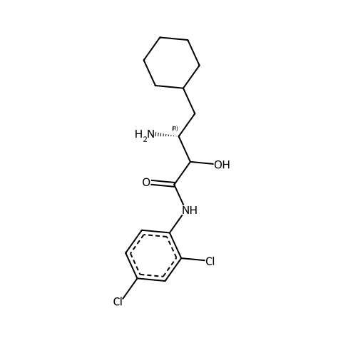 N[C@H](CC1CCCCC1)C(O)C(=O)Nc1ccc(Cl)cc1Cl